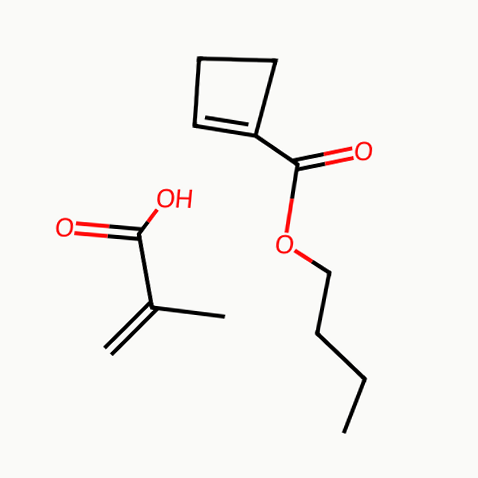 C=C(C)C(=O)O.CCCCOC(=O)C1=CCC1